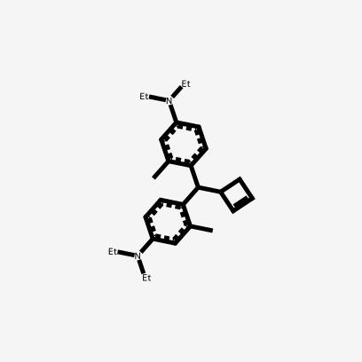 CCN(CC)c1ccc(C(c2ccc(N(CC)CC)cc2C)C2C=CC2)c(C)c1